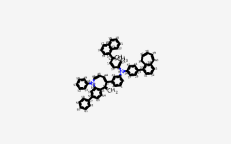 C=C1/C(c2cccc(N(C(/C=C\C(=C)c3cccc4ccccc34)=C/C)c3ccc(-c4cccc5c4CC=CC=C5)cc3)c2)=C\C=C/N(c2ccccc2)c2cc(-c3ccccc3)ccc21